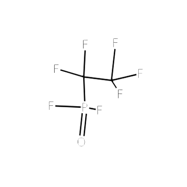 O=P(F)(F)C(F)(F)C(F)(F)F